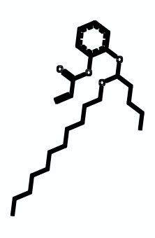 C=CC(=O)Oc1ccccc1OC(CCCC)OCCCCCCCCCCC